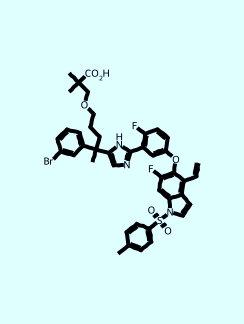 C=Cc1c(Oc2ccc(F)c(-c3ncc(C(C)(CCCOCC(C)(C)C(=O)O)c4cccc(Br)c4)[nH]3)c2)c(F)cc2c1ccn2S(=O)(=O)c1ccc(C)cc1